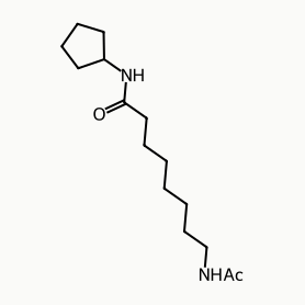 CC(=O)NCCCCCCCC(=O)NC1CCCC1